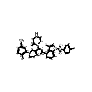 Cc1ccc(S(=O)(=O)n2cc(C)c3c(-c4nc5c(c(N6CCNCC6C)n4)CN(c4cc(C(C)C)ccc4C)CC5)cccc32)cc1